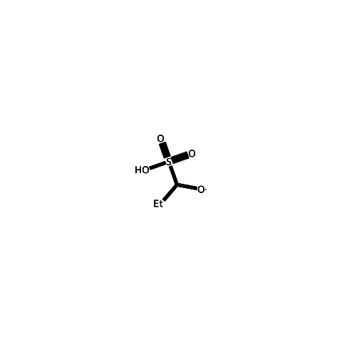 CCC([O])S(=O)(=O)O